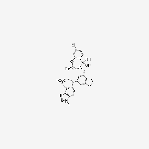 CC[C@@H]1CN(Cc2cc(C(CC(=O)O)c3ccc4c(nnn4C)c3C)cc3c2CCC3)S(O)(O)c2ccc(Cl)cc2O1